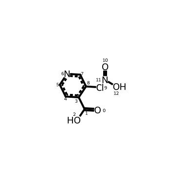 O=C(O)c1ccncc1Cl.O=NO